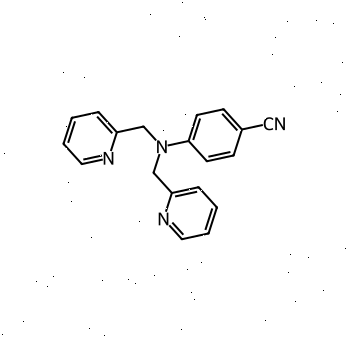 N#Cc1ccc(N(Cc2ccccn2)Cc2ccccn2)cc1